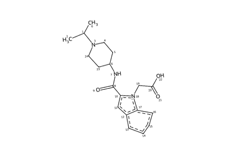 CC(C)N1CCC(NC(=O)c2cc3ccccc3n2CC(=O)O)CC1